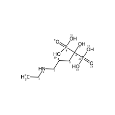 CCNCCCC(O)(P(=O)(O)O)P(=O)(O)O